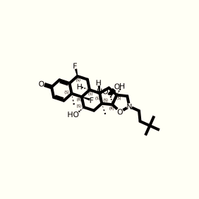 CC(C)(C)CCN1C[C@@H]2C[C@H]3[C@@H]4C[C@H](F)C5=CC(=O)C=C[C@]5(C)[C@@]4(F)[C@@H](O)C[C@]3(C)[C@]2(C(=O)O)O1